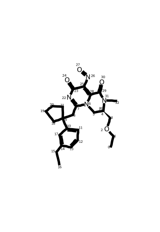 CCOC[C@H]1Cn2c(CC3(c4cccc(CC)c4)CCCC3)nc(=O)c(N=O)c2C(=O)N1C